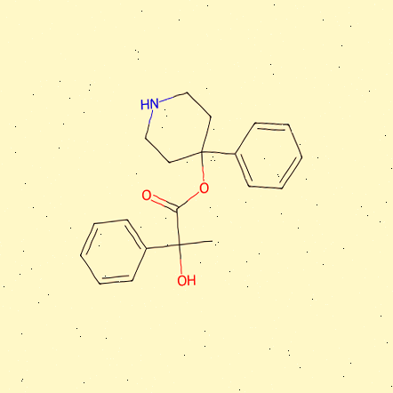 CC(O)(C(=O)OC1(c2ccccc2)CCNCC1)c1ccccc1